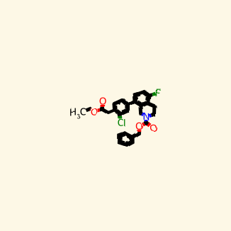 CCOC(=O)Cc1ccc(-c2ccc(F)c3c2CN(C(=O)OCc2ccccc2)CC3)cc1Cl